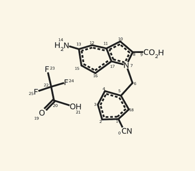 N#Cc1cccc(Cn2c(C(=O)O)cc3cc(N)ccc32)c1.O=C(O)C(F)(F)F